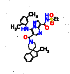 CCS(=O)(=O)NC(=O)c1cnn2c(Nc3cc(C)ccc3C)c(C(=O)N3CCC4(CC3)C(C)=Cc3ccccc34)cnc12